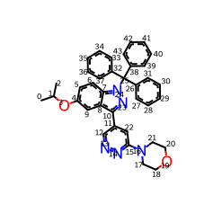 CC(C)Oc1ccc2c(c1)c(-c1cnnc(N3CCOCC3)c1)nn2C(c1ccccc1)(c1ccccc1)c1ccccc1